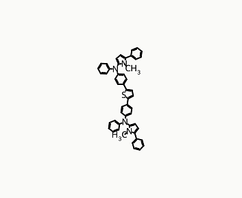 Cn1c(-c2ccccc2)ccc1N(c1ccccc1)c1ccc(-c2ccc(-c3ccc(N(c4ccccc4)c4ccc(-c5ccccc5)n4C)cc3)s2)cc1